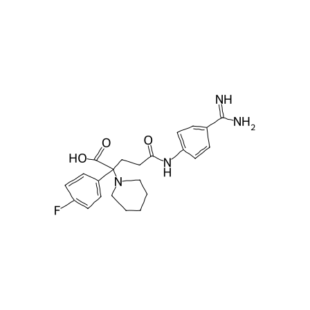 N=C(N)c1ccc(NC(=O)CCC(C(=O)O)(c2ccc(F)cc2)N2CCCCC2)cc1